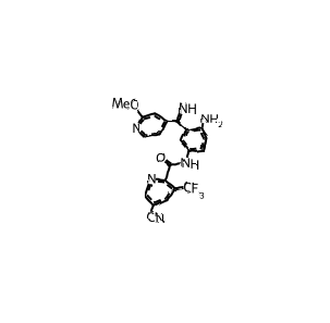 COc1cc(C(=N)c2cc(NC(=O)c3ncc(C#N)cc3C(F)(F)F)ccc2N)ccn1